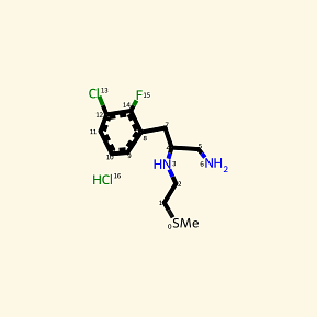 CSCCNC(CN)Cc1cccc(Cl)c1F.Cl